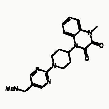 CNCc1cnc(N2CCC(n3c(=O)c(=O)n(C)c4ccccc43)CC2)nc1